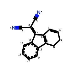 N#CC(C#N)=C1C2=C(CCC=C2)c2ccccc21